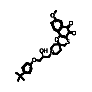 COc1ccc2c(c1)C(=O)C(=O)C1=C2OC2(CCN(C[C@H](O)COc3ccc(C(C)(C)C)cc3)CC2)CS1